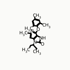 CCC(CC)n1c(=O)[nH]c2c(Oc3c(C)cc(C)cc3C)nc(C)cc21